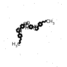 CCCCc1ccc(C2=NN(c3ccc(O[PH](=O)Oc4ccc(N5CCCC(c6ccc(CCCC)cc6)=N5)cc4)cc3)CCC2)cc1